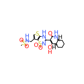 CS(=O)(=O)NCc1csc2c1S(=O)(=O)N=C(C1=C(O)[C@H]3CCCC[C@H]3NC1=O)N2